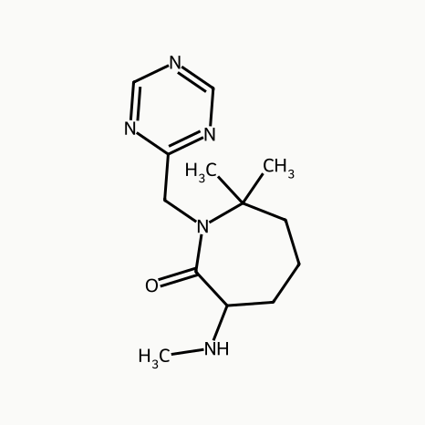 CNC1CCCC(C)(C)N(Cc2ncncn2)C1=O